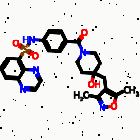 Cc1noc(C)c1CC1(O)CCN(C(=O)c2ccc(NS(=O)(=O)c3cccc4nccnc34)cc2)CC1